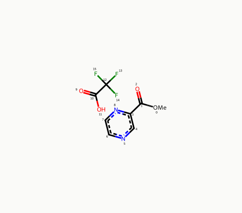 COC(=O)c1cnccn1.O=C(O)C(F)(F)F